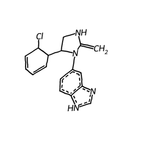 C=C1NCC(C2C=CC=CC2Cl)N1c1ccc2[nH]cnc2c1